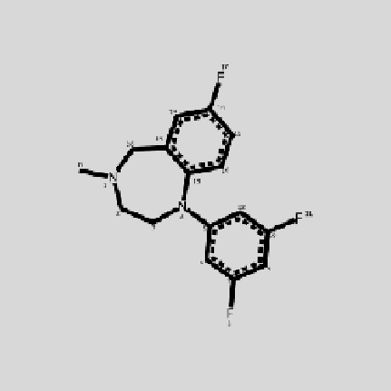 CN1CCN(c2cc(F)cc(F)c2)c2ccc(F)cc2C1